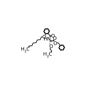 C=CCCCCCCOc1ccccc1C(=O)N[C@@H](COCC=C)C(=O)OCc1ccccc1